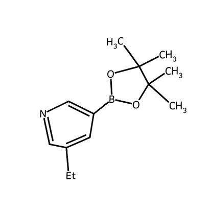 CCc1cncc(B2OC(C)(C)C(C)(C)O2)c1